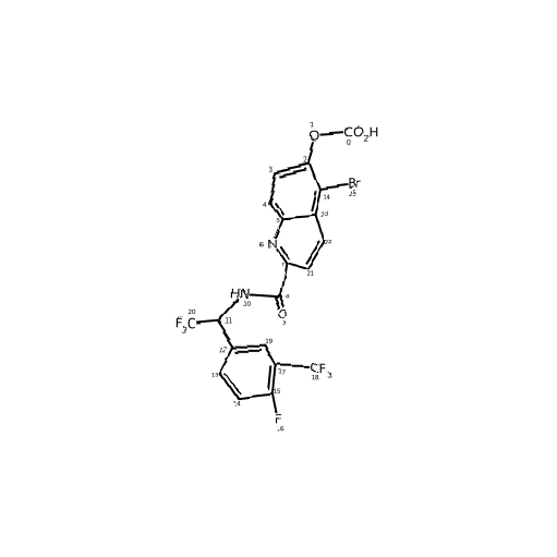 O=C(O)Oc1ccc2nc(C(=O)NC(c3ccc(F)c(C(F)(F)F)c3)C(F)(F)F)ccc2c1Br